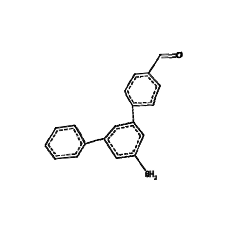 Bc1cc(-c2ccccc2)cc(-c2ccc(C=O)cc2)c1